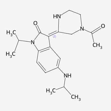 CC(=O)N1CCN/C(=C2\C(=O)N(C(C)C)c3ccc(NC(C)C)cc32)C1